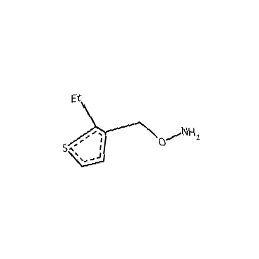 CCc1sccc1CON